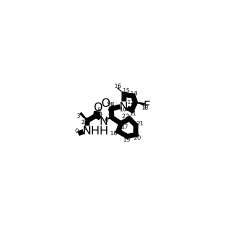 CN[C@@H](C)C(=O)N[C@H](C(=O)N1C[C@H](F)C[C@H]1C)C1CCCCC1